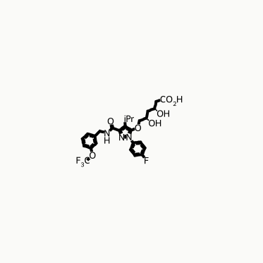 CC(C)c1c(C(=O)NCc2cccc(OC(F)(F)F)c2)nn(-c2ccc(F)cc2)c1OC[C@@H](O)C[C@@H](O)CC(=O)O